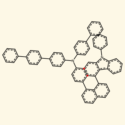 c1ccc(-c2ccc(-c3ccc(N(c4ccc(-c5ccccc5)cc4)c4ccc(-c5cccc6cccc(-c7cccc8c7c7ccccc7n8-c7ccccc7)c56)cc4)cc3)cc2)cc1